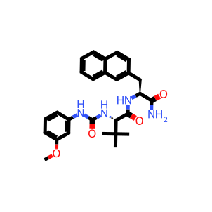 COc1cccc(NC(=O)N[C@H](C(=O)N[C@@H](Cc2ccc3ccccc3c2)C(N)=O)C(C)(C)C)c1